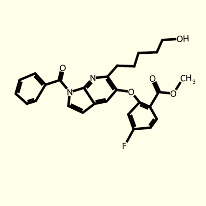 COC(=O)c1ccc(F)cc1Oc1cc2ccn(C(=O)c3ccccc3)c2nc1CCCCCO